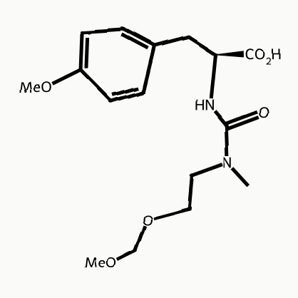 COCOCCN(C)C(=O)N[C@@H](Cc1ccc(OC)cc1)C(=O)O